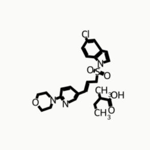 CCC(C)C(=O)O.O=S(=O)(CC=Cc1ccc(N2CCOCC2)nc1)n1ccc2cc(Cl)ccc21